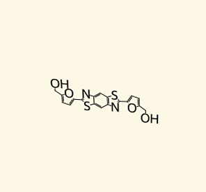 OCc1ccc(-c2nc3cc4sc(-c5ccc(CO)o5)nc4cc3s2)o1